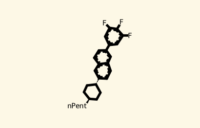 CCCCC[C@H]1CC[C@H](c2ccc3cc(-c4cc(F)c(F)c(F)c4)ccc3c2)CC1